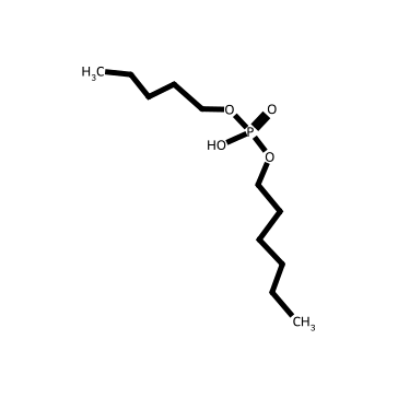 CCCCCCOP(=O)(O)OCCCCC